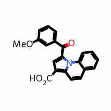 COc1cccc(C(=O)c2cc(C(=O)O)c3ccc4ccccc4n23)c1